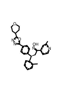 Cc1cc(C(C[C@H](c2ccc(-c3nnc(C4CCOCC4)o3)cc2)c2ccccc2C)=NO)ccn1